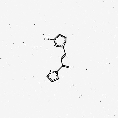 O=C(C=Cc1cccc(O)c1)c1ccco1